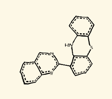 c1ccc2c(c1)Nc1c(cccc1-c1ncc3ccccc3n1)S2